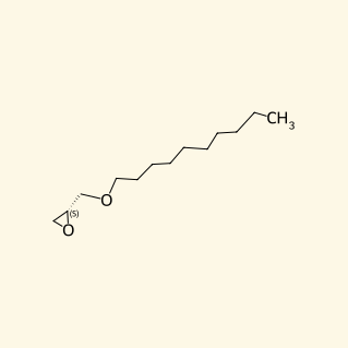 CCCCCCCCCCOC[C@H]1CO1